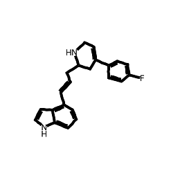 Fc1ccc(C2=CCNC(CC=Cc3cccc4[nH]ccc34)C2)cc1